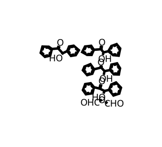 O=C(c1ccccc1)C(O)c1ccccc1.O=C(c1ccccc1)C(O)c1ccccc1.O=C(c1ccccc1)C(O)c1ccccc1.O=C(c1ccccc1)C(O)c1ccccc1.O=COC=O